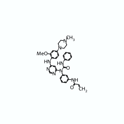 C=CC(=O)Nc1cccc(N(C(=O)Nc2ccccc2)c2cc(Nc3ccc(N4CCN(C)CC4)cc3OC)ncn2)c1